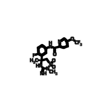 CN1C(=N)N[C@](C)(c2cc(NC(=O)c3ccc(OC(F)(F)F)cn3)ccc2F)CS1(=O)=O